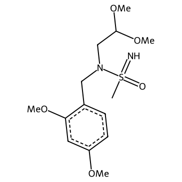 COc1ccc(CN(CC(OC)OC)S(C)(=N)=O)c(OC)c1